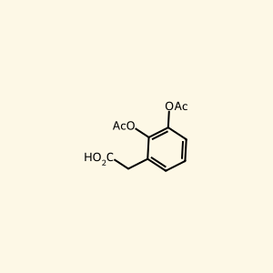 CC(=O)Oc1cccc(CC(=O)O)c1OC(C)=O